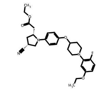 CCOC(=O)C[C@H]1C[C@@H](C#N)CN1c1ccc(OC2CCN(c3cc(OCC)ccc3F)CC2)cc1